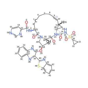 O=C(N[C@H]1CCCCC/C=C\[C@@H]2C[C@@]2(C(=O)NS(=O)(=O)C2CC2)NC(=O)[C@@H]2C[C@@H](Oc3nc4ccccc4nc3-c3nc4ccccc4s3)CN2C1=O)c1ccncn1